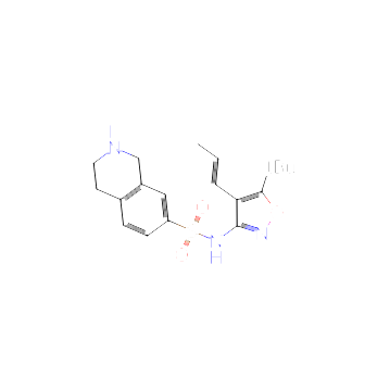 CC=Cc1c(NS(=O)(=O)c2ccc3c(c2)CNCC3)noc1C(C)(C)C